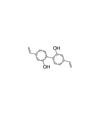 C=Cc1ccc(-c2ccc(C=C)cc2O)c(O)c1